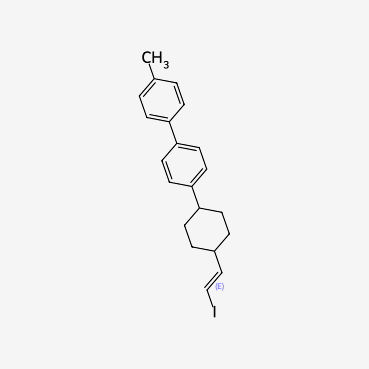 Cc1ccc(-c2ccc(C3CCC(/C=C/I)CC3)cc2)cc1